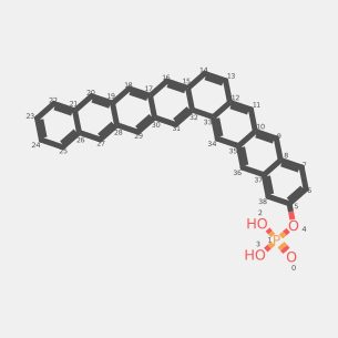 O=P(O)(O)Oc1ccc2cc3cc4ccc5cc6cc7cc8ccccc8cc7cc6cc5c4cc3cc2c1